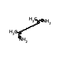 CCCc1cc(CCCCCCCCCCCCCCCCCCc2ccc(Cc3ccc(N)cc3)c(CCC)c2)ccc1Cc1ccc(N)cc1